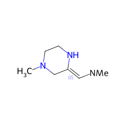 CN/C=C1/CN(C)CCN1